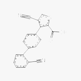 N#Cc1ccccc1-c1ccc(-c2c(C#N)csc2C(=O)O)cc1